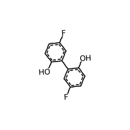 Oc1ccc(F)cc1-c1cc(F)ccc1O